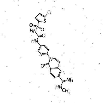 CNC(=N)c1ccc2c(=O)n(-c3ccc(NC(=O)NS(=O)(=O)c4ccc(Cl)s4)cn3)ccc2c1